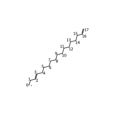 [CH2]CC=CCCCCCCCCCCCCC=C